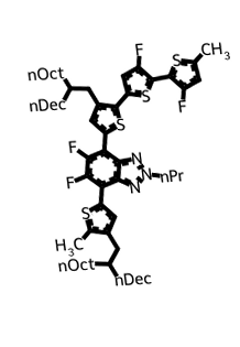 CCCCCCCCCCC(CCCCCCCC)Cc1cc(-c2c(F)c(F)c(-c3cc(CC(CCCCCCCC)CCCCCCCCCC)c(-c4cc(F)c(-c5sc(C)cc5F)s4)s3)c3nn(CCC)nc23)sc1C